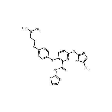 Cc1nnc(Sc2ccc(Sc3ccc(OCCN(C)C)cc3)c(C(=O)Nc3ncns3)n2)[nH]1